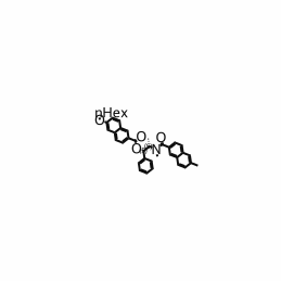 CCCCCCOc1ccc2cc(C(=O)O[C@@H](c3ccccc3)[C@H](C)N(C)C(=O)c3ccc4cc(C)ccc4c3)ccc2c1